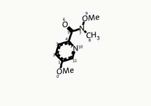 COc1ccc(C(=O)N(C)OC)nc1